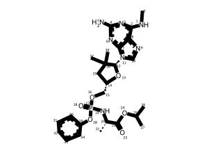 CNc1nc(N)nc2c1ncn2[C@@H]1O[C@H](COP(=O)(N[C@@H](C)C(=O)OC(C)C)Oc2ccccc2)CC1(C)C